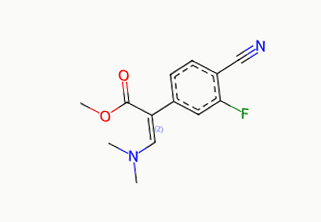 COC(=O)/C(=C\N(C)C)c1ccc(C#N)c(F)c1